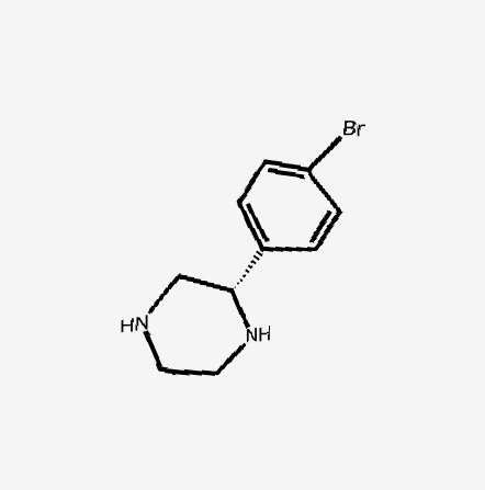 Brc1ccc([C@H]2CNCCN2)cc1